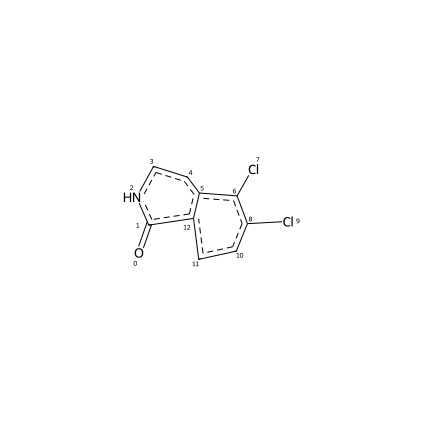 O=c1[nH]ccc2c(Cl)c(Cl)ccc12